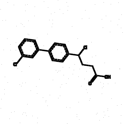 O=C(O)CCC(Cl)c1ccc(-c2cccc(Cl)c2)cc1